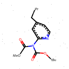 COC(=O)N(C(=O)OC(C)(C)C)c1cc(CC(C)C)ccn1